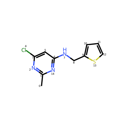 Cc1nc(Cl)cc(NCc2cccs2)n1